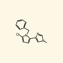 Cn1cnc(-c2ccc(Cl)n2Cc2ccccc2)c1